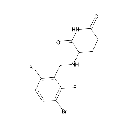 O=C1CCC(NCc2c(Br)ccc(Br)c2F)C(=O)N1